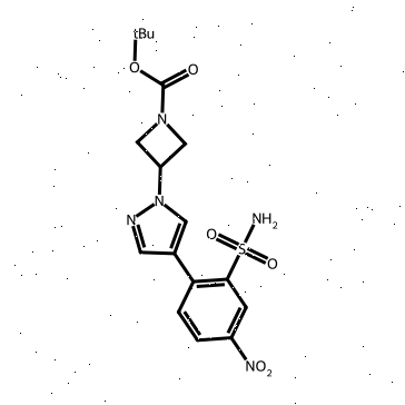 CC(C)(C)OC(=O)N1CC(n2cc(-c3ccc([N+](=O)[O-])cc3S(N)(=O)=O)cn2)C1